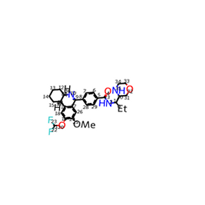 CCC(NC(=O)c1ccc(C2=N[C@@H]3CCCC[C@@H]3c3cc(OC(F)F)c(OC)cc32)cc1)C1COCCN1